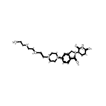 NCCOCCOCCN1CCN(c2ccc3c(c2)CN(C2CCC(=O)NC2=O)C3=O)CC1